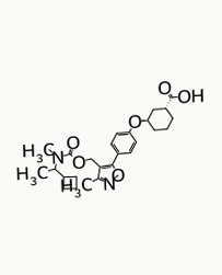 Cc1noc(-c2ccc(O[C@@H]3CCC[C@@H](C(=O)O)C3)cc2)c1COC(=O)N(C)C(C)C1CCC1